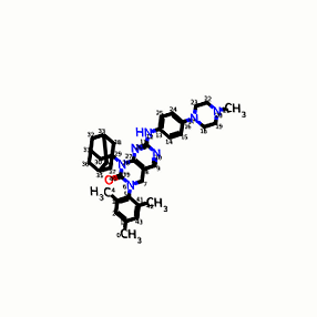 Cc1cc(C)c(N2Cc3cnc(Nc4ccc(N5CCN(C)CC5)cc4)nc3N(C34CC5CC(CC(C5)C3)C4)C2=O)c(C)c1